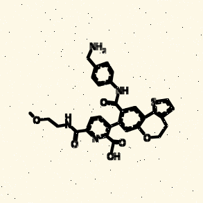 COCCNC(=O)c1ccc(-c2cc3c(cc2C(=O)Nc2ccc(CN)cc2)-c2sccc2CCO3)c(C(=O)O)n1